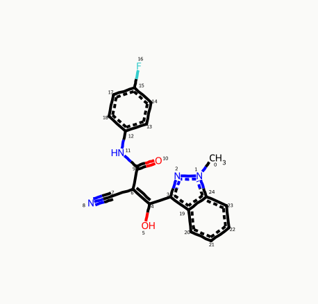 Cn1nc(C(O)=C(C#N)C(=O)Nc2ccc(F)cc2)c2ccccc21